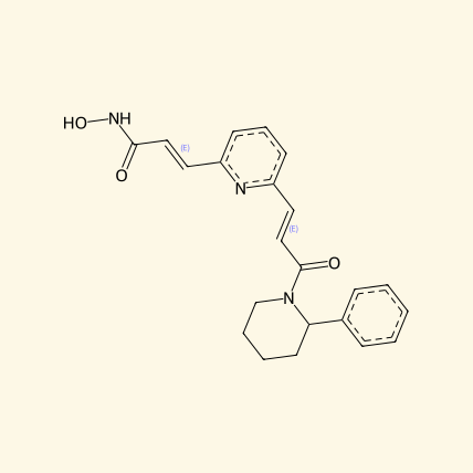 O=C(/C=C/c1cccc(/C=C/C(=O)N2CCCCC2c2ccccc2)n1)NO